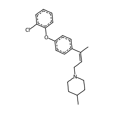 CC(=CCN1CCC(C)CC1)c1ccc(Oc2ccccc2Cl)cc1